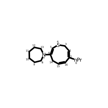 CCCC1=C/CS/C=C(/N2CCCCCC2)C/C=C\1